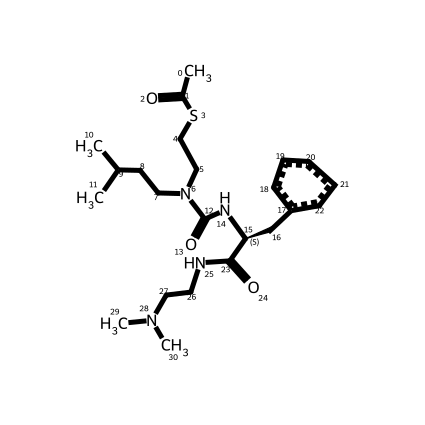 CC(=O)SCCN(CCC(C)C)C(=O)N[C@@H](Cc1ccccc1)C(=O)NCCN(C)C